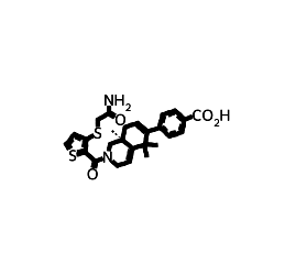 CC1(C)C(c2ccc(C(=O)O)cc2)=CC[C@]2(C)CN(C(=O)c3sccc3SCC(N)=O)CC=C12